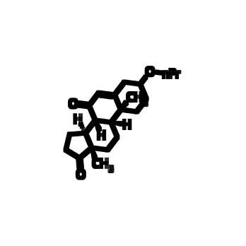 CCCOC1CC[C@@]2(C)C(=CC(=O)[C@@H]3[C@H]2CC[C@]2(C)C(=O)CC[C@@H]32)C1